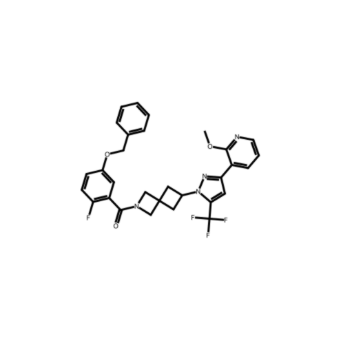 COc1ncccc1-c1cc(C(F)(F)F)n(C2CC3(C2)CN(C(=O)c2cc(OCc4ccccc4)ccc2F)C3)n1